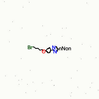 CCCCCCCCCc1cnc(-c2ccc(OCCCCCBr)cc2)nc1